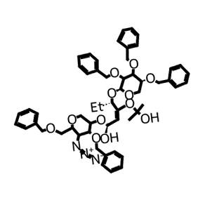 CC[C@H](O[C@@H]1OC[C@@H](OCc2ccccc2)C(OCc2ccccc2)C1OCc1ccccc1)/C(=C\[C@@H](O)OC1COC(COCc2ccccc2)C(N=[N+]=[N-])C1OCc1ccccc1)OC(C)(C)O